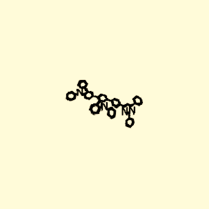 c1ccc(-c2cc(-c3ccc(-c4ccc(-c5ccc6c(c5)c5ccccc5n6-c5ccccc5)c5c6ccccc6n(-c6ccccc6)c45)cc3)nc(-c3ccccc3)n2)cc1